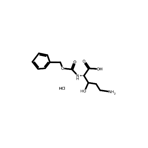 Cl.NCCC(O)[C@H](NC(=O)OCc1ccccc1)C(=O)O